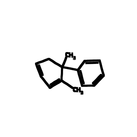 CC1=CC=CCC1(C)c1ccccc1